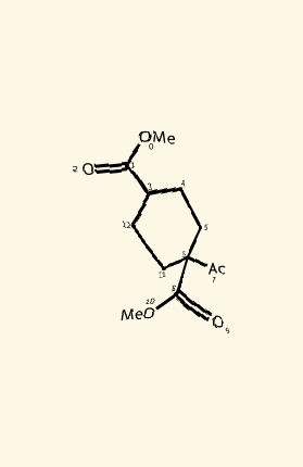 COC(=O)C1CCC(C(C)=O)(C(=O)OC)CC1